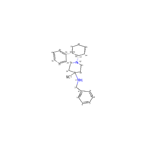 N#CC1(NCc2ccccc2)CCN([C@H]2CCCC[C@H]2c2ccccc2)CC1